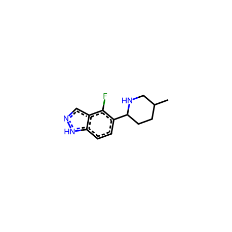 CC1CCC(c2ccc3[nH]ncc3c2F)NC1